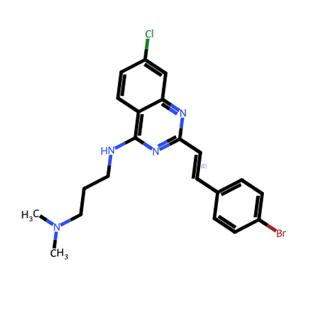 CN(C)CCCNc1nc(/C=C/c2ccc(Br)cc2)nc2cc(Cl)ccc12